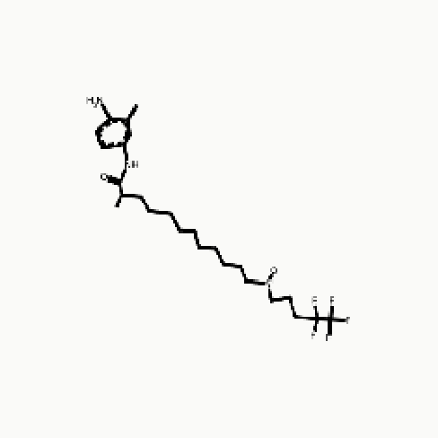 Cc1cc(NC(=O)C(C)CCCCCCCCCC[S+]([O-])CCCC(F)(F)C(F)(F)F)ccc1N